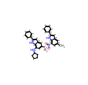 Cc1cc(NC2CCCC2)c2[nH]c(-c3ccccc3)cc2c1.Cc1cc([N+](=O)[O-])c2[nH]c(-c3ccccc3)cc2c1